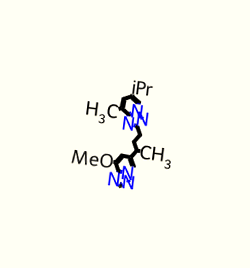 COc1cc(C(C)CCc2nc3c(C)cc(C(C)C)cn3n2)cn2ncnc12